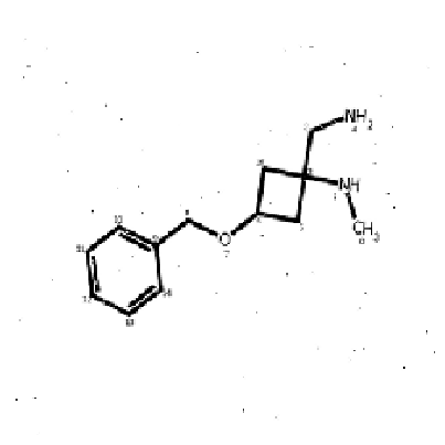 CNC1(CN)CC(OCc2ccccc2)C1